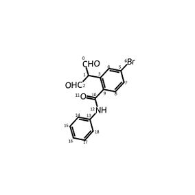 O=CC(C=O)c1cc(Br)ccc1C(=O)Nc1ccccc1